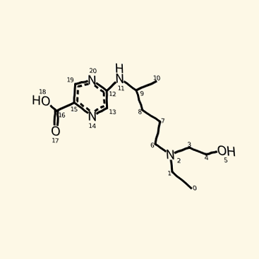 CCN(CCO)CCCC(C)Nc1cnc(C(=O)O)cn1